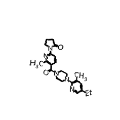 CCc1cnc(N2CCN(C(=O)c3ccc(N4CCCC4=O)nc3C)CC2)c(C)c1